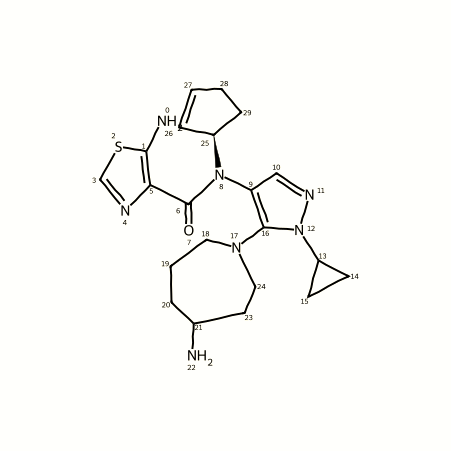 Nc1scnc1C(=O)N(c1cnn(C2CC2)c1N1CCCC(N)CC1)[C@H]1C=CCC1